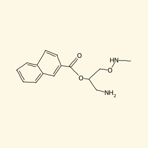 CNOCC(CN)OC(=O)c1ccc2ccccc2c1